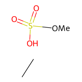 CC.COS(=O)(=O)O